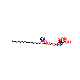 CCCCCCCCCCCCCCCCCCOCC(COCCOCC[N+]12C=C(C=CC1)C2(CC)C(CC(=O)O)C(=O)O)Oc1ncccn1